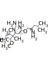 C=C/C=C(/C)C(C)(C(/C=C(\N)OC[C@H](N)CC(C)C)=N/CN)C(C)OC